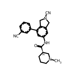 CN1CCC[C@@H](C(=O)Nc2cc3c(c(-c4cccc(C#N)c4)c2)CN(C#N)C3)C1